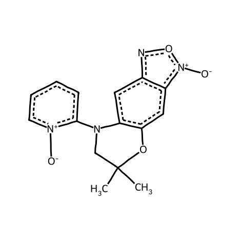 CC1(C)CN(c2cccc[n+]2[O-])c2cc3no[n+]([O-])c3cc2O1